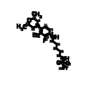 CCc1c(N2C[C@@H](C)O[C@@H](C)C2)ccc(NCCCCCNS(=O)(=O)C(C)C)c1F